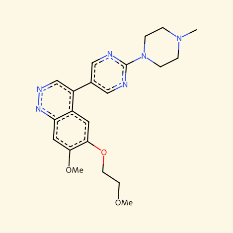 COCCOc1cc2c(-c3cnc(N4CCN(C)CC4)nc3)cnnc2cc1OC